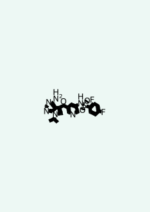 CC(C)n1cc(C(=O)c2cncc(NS(=O)(=O)c3ccc(F)cc3F)c2)c2c(N)ncnc21